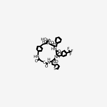 O=C1CCC(=O)N[C@H](CC2CC=CS2)C(=O)N[C@@H](Cc2ccc(C(F)(F)F)cc2)C(=O)N[C@H](Cc2ccccc2)C(=O)N[C@H](C(=O)O)Cc2ccc(cc2)N1